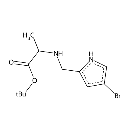 CC(NCc1cc(Br)c[nH]1)C(=O)OC(C)(C)C